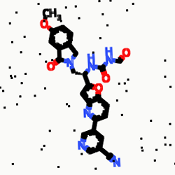 COc1ccc2c(c1)C(=O)N(C[C@H](NC(=O)NC=O)c1cc3nc(-c4cncc(C#N)c4)ccc3o1)C2